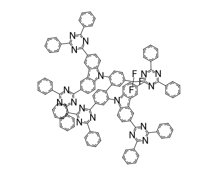 FC(F)(F)c1ccc(-n2c3ccc(-c4nc(-c5ccccc5)nc(-c5ccccc5)n4)cc3c3cc(-c4nc(-c5ccccc5)nc(-c5ccccc5)n4)ccc32)c(-c2ccc(-c3nc(-c4ccccc4)nc(-c4ccccc4)n3)cc2-n2c3ccc(-c4nc(-c5ccccc5)nc(-c5ccccc5)n4)cc3c3cc(-c4nc(-c5ccccc5)nc(-c5ccccc5)n4)ccc32)c1